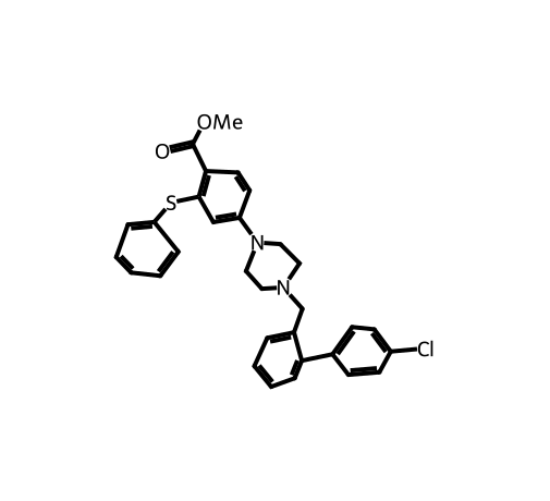 COC(=O)c1ccc(N2CCN(Cc3ccccc3-c3ccc(Cl)cc3)CC2)cc1Sc1ccccc1